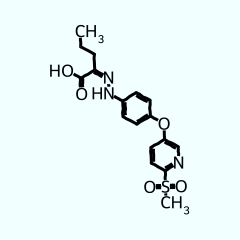 CCCC(=NNc1ccc(Oc2ccc(S(C)(=O)=O)nc2)cc1)C(=O)O